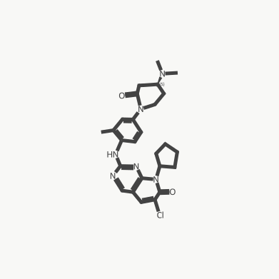 Cc1cc(N2CC[C@H](N(C)C)CC2=O)ccc1Nc1ncc2cc(Cl)c(=O)n(C3CCCC3)c2n1